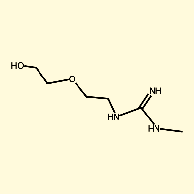 CNC(=N)NCCOCCO